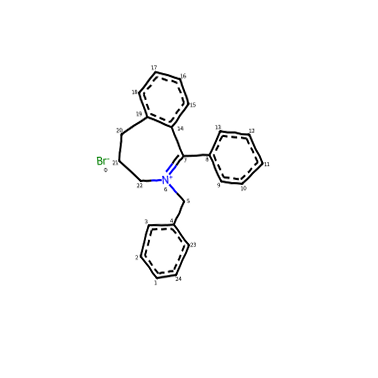 [Br-].c1ccc(C[N+]2=C(c3ccccc3)c3ccccc3CCC2)cc1